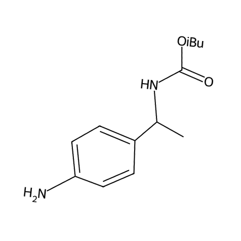 CC(C)COC(=O)NC(C)c1ccc(N)cc1